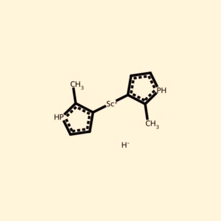 Cc1[pH]cc[c]1[Sc+][c]1cc[pH]c1C.[H-]